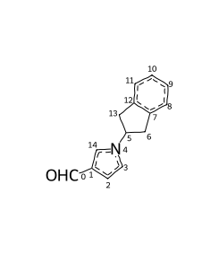 O=Cc1ccn(C2Cc3ccccc3C2)c1